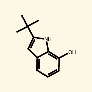 CC(C)(C)c1cc2cccc(O)c2[nH]1